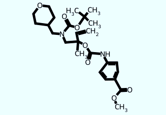 C=CC(C)(CN(CC1CCOCC1)C(=O)OC(C)(C)C)OC(=O)Nc1ccc(C(=O)OC)cc1